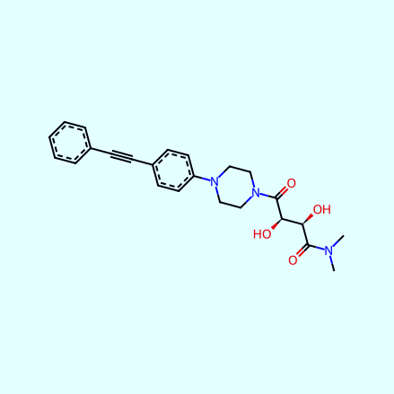 CN(C)C(=O)[C@H](O)[C@@H](O)C(=O)N1CCN(c2ccc(C#Cc3ccccc3)cc2)CC1